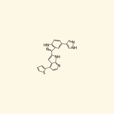 c1csc(-c2ccnc3[nH]c(-c4n[nH]c5ccc(-c6cn[nH]c6)cc45)cc23)c1